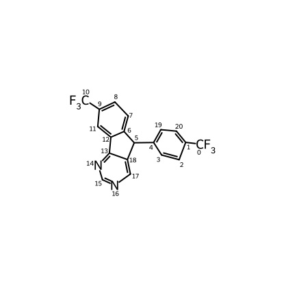 FC(F)(F)c1ccc(C2c3ccc(C(F)(F)F)cc3-c3ncncc32)cc1